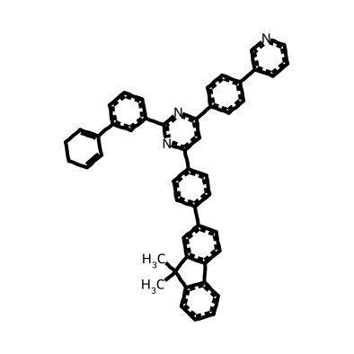 CC1(C)c2ccccc2-c2ccc(-c3ccc(-c4cc(-c5ccc(-c6cccnc6)cc5)nc(-c5cccc(C6=CCCC=C6)c5)n4)cc3)cc21